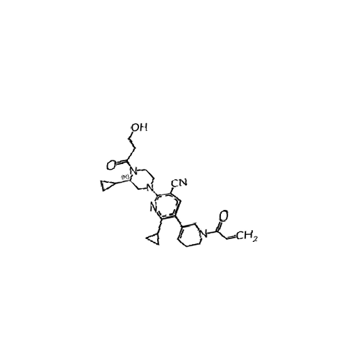 C=CC(=O)N1CCC=C(c2cc(C#N)c(N3CCN(C(=O)CCO)[C@H](C4CC4)C3)nc2C2CC2)C1